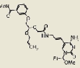 C=CCOC(COc1cccc(C(=O)NC)c1)OCC(=O)NC/C=C/c1cn(C(CC)OC)c(=O)nc1N